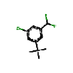 CC(C)(C)c1cc(Cl)cc(C(F)F)c1